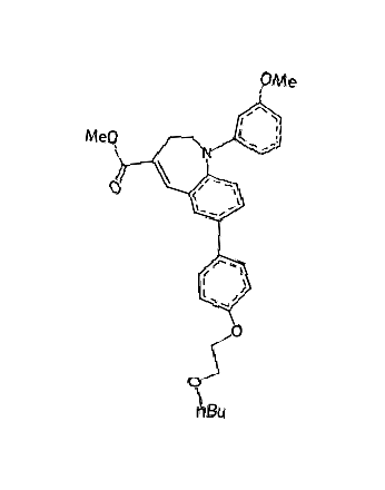 CCCCOCCOc1ccc(-c2ccc3c(c2)C=C(C(=O)OC)CCN3c2cccc(OC)c2)cc1